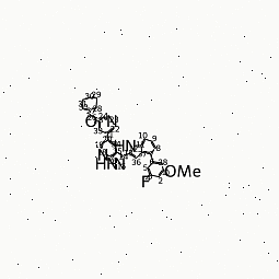 COc1cc(F)cc(-c2cccc3[nH]c(-c4n[nH]c5ncc(-c6cncc(OC7CCCCC7)c6)cc45)cc23)c1